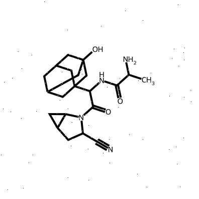 CC(N)C(=O)NC(C(=O)N1C(C#N)CC2CC21)C12CC3CC(CC(O)(C3)C1)C2